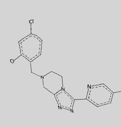 Fc1ccc(-c2nnc3n2CCN(Cc2ccc(Cl)cc2Cl)C3)nc1